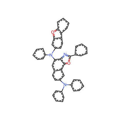 c1ccc(-c2nc3c(N(c4ccccc4)c4ccc5c(c4)oc4ccccc45)cc4ccc(N(c5ccccc5)c5ccccc5)cc4c3o2)cc1